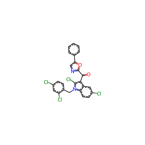 O=C(c1ncc(-c2ccccc2)o1)c1c(Cl)n(Cc2ccc(Cl)cc2Cl)c2ccc(Cl)cc12